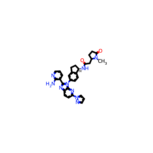 CN1C(=O)CCC1CC(=O)N[C@H]1CCc2cc(-n3c(-c4cccnc4N)nc4ccc(-n5cccn5)nc43)ccc21